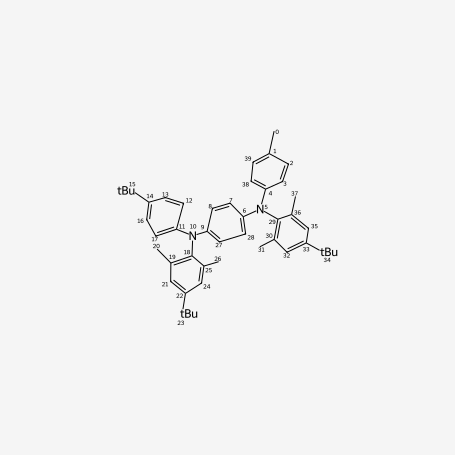 Cc1ccc(N(c2ccc(N(c3ccc(C(C)(C)C)cc3)c3c(C)cc(C(C)(C)C)cc3C)cc2)c2c(C)cc(C(C)(C)C)cc2C)cc1